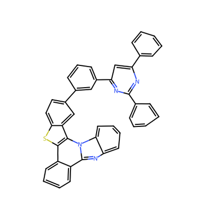 c1ccc(-c2cc(-c3cccc(-c4ccc5sc6c7ccccc7c7nc8ccccc8n7c6c5c4)c3)nc(-c3ccccc3)n2)cc1